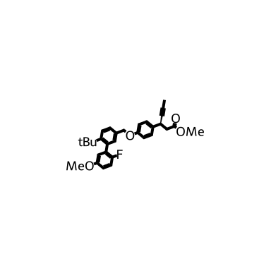 CC#C[C@@H](CC(=O)OC)c1ccc(OCc2ccc(C(C)(C)C)c(-c3cc(OC)ccc3F)c2)cc1